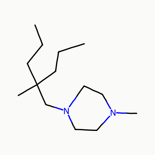 CCCC(C)(CCC)CN1CCN(C)CC1